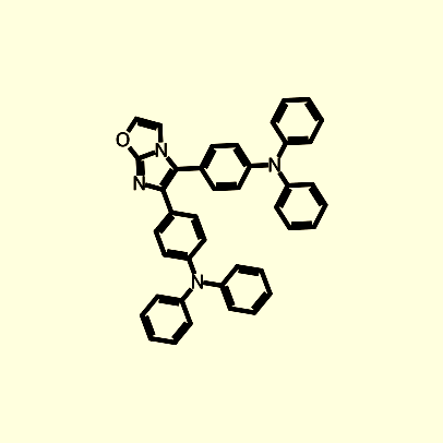 c1ccc(N(c2ccccc2)c2ccc(-c3nc4occn4c3-c3ccc(N(c4ccccc4)c4ccccc4)cc3)cc2)cc1